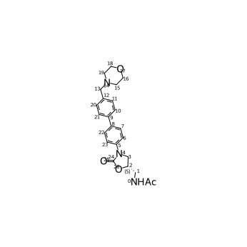 CC(=O)NC[C@H]1CN(c2ccc(-c3ccc(CN4CCOCC4)cc3)cc2)C(=O)O1